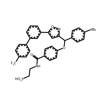 CC(C)(C)c1ccc(C(Oc2ccc(C(=O)NCCS(=O)(=O)O)cc2)c2cc(-c3cccc(-c4ccc(C(F)(F)F)cc4)c3)on2)cc1